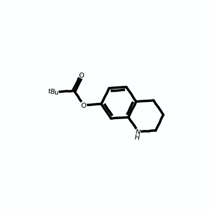 CC(C)(C)C(=O)Oc1ccc2c(c1)NCCC2